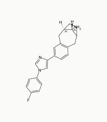 N[C@@H]1C2CC[C@@H]1Cc1cc(-c3cn(-c4ccc(F)cc4)cn3)ccc1C2